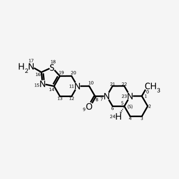 CC1CCC[C@H]2CN(C(=O)CN3CCc4nc(N)sc4C3)CCN12